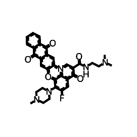 CN(C)CCNC(=O)c1cn2c3cc4c(=O)c5ccccc5c(=O)c4cc3oc3c(N4CCN(C)CC4)c(F)cc(c1=O)c32